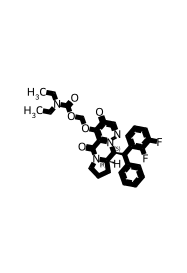 CCN(CC)C(=O)OCOc1c2n(ncc1=O)[C@@H](C(c1ccccc1)c1cccc(F)c1F)[C@H]1CCCN1C2=O